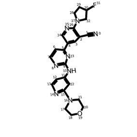 N#Cc1cc(-c2ccnc(Nc3ccnc(N4CCOCC4)c3)n2)cnc1N1CCC(F)C1